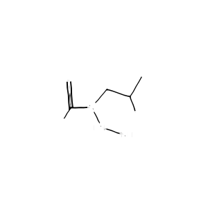 CC(=O)N(CC(F)F)NN